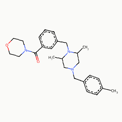 Cc1ccc(CN2CC(C)N(Cc3cccc(C(=O)N4CCOCC4)c3)C(C)C2)cc1